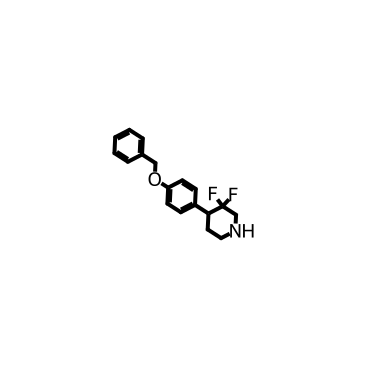 FC1(F)CNCCC1c1ccc(OCc2ccccc2)cc1